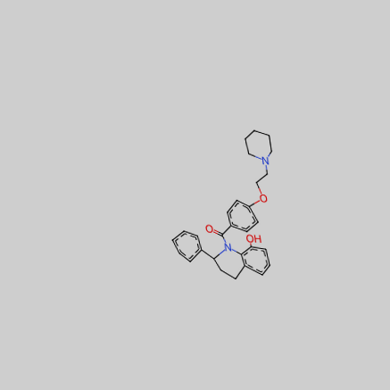 O=C(c1ccc(OCCN2CCCCC2)cc1)N1c2c(O)cccc2CCC1c1ccccc1